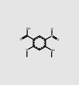 CNc1cc(OC)c(C(=O)O)cc1[N+](=O)[O-]